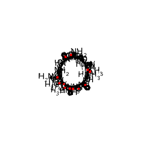 CCCC[C@H]1C(=O)N(C)[C@@H](CCCC)C(=O)N[C@@H](CCCNC(=N)N)C(=O)N[C@H](C(N)=O)CSCC(=O)N[C@@H](Cc2ccccc2)C(=O)N(C)[C@@H](C)C(=O)N[C@@H](CC(N)=O)C(=O)N2CCCC2C(=O)N[C@@H](Cc2cnc[nH]2)C(=O)N[C@@H](CC(C)C)C(=O)N(C)CC(=O)N[C@@H](Cc2c[nH]c3ccccc23)C(=O)N[C@@H](CO)C(=O)N[C@@H](Cc2c[nH]c3ccccc23)C(=O)N1C